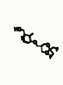 Cc1c(OCC2COC(CF)(CF)OC2)ccnc1CO